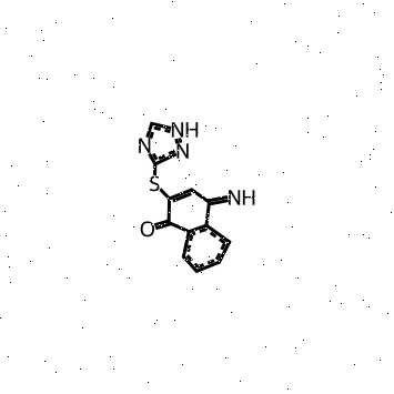 N=C1C=C(Sc2nc[nH]n2)C(=O)c2ccccc21